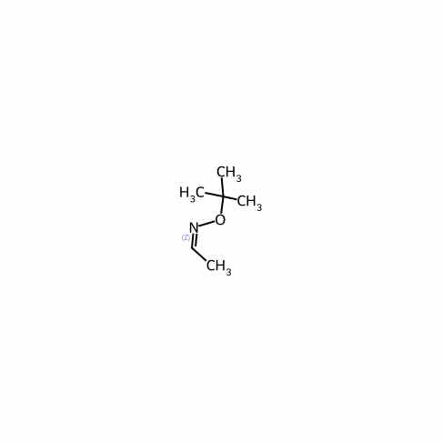 C/C=N\OC(C)(C)C